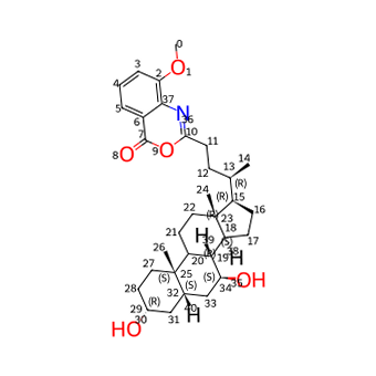 COc1cccc2c(=O)oc(CC[C@@H](C)[C@H]3CC[C@H]4[C@H]5C(CC[C@]34C)[C@@]3(C)CC[C@@H](O)C[C@H]3C[C@@H]5O)nc12